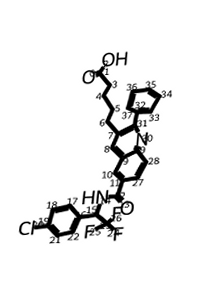 O=C(O)CCCCc1cc2cc(C(=O)NC(c3ccc(Cl)cc3)C(F)(F)F)ccc2nc1-c1ccccc1